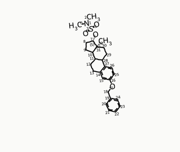 CN(C)S(=O)(=O)O[C@H]1CCC2C3CCc4cc(OCc5ccccc5)ccc4C3CC[C@@]21C